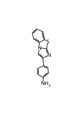 Nc1ccc(-c2cn3c(n2)sc2ccccc23)cc1